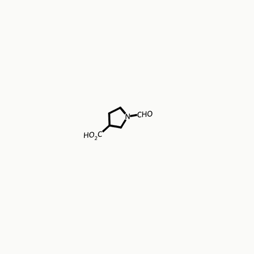 O=CN1CCC(C(=O)O)C1